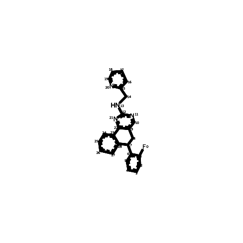 Fc1ccccc1C1Cc2cnc(NCc3ccccn3)nc2-c2ccccc21